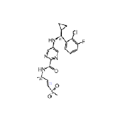 C[C@H](/C=C/S(C)(=O)=O)NC(=O)c1ncc(N[C@H](c2cccc(F)c2Cl)C2CC2)cn1